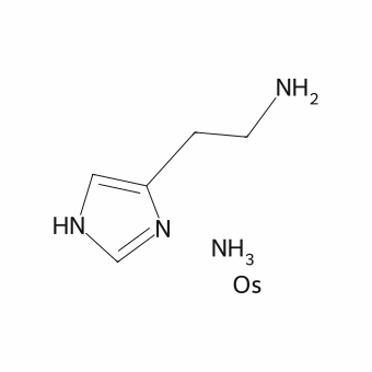 N.NCCc1c[nH]cn1.[Os]